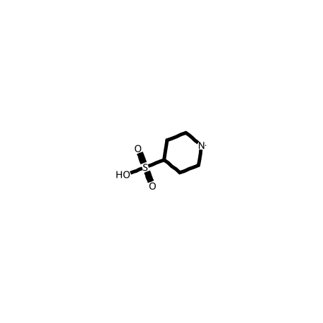 O=S(=O)(O)C1CC[N]CC1